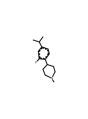 CC(C)c1ccc(C2CCN(C)CC2)c(F)c1